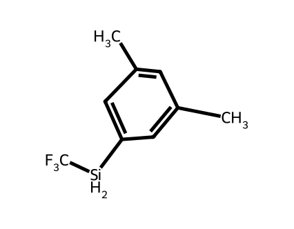 Cc1cc(C)cc([SiH2]C(F)(F)F)c1